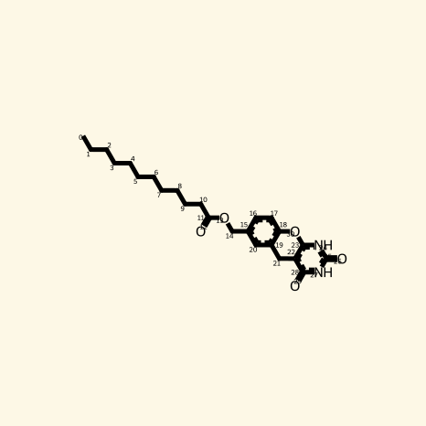 CCCCCCCCCCCC(=O)OCc1ccc2c(c1)Cc1c([nH]c(=O)[nH]c1=O)O2